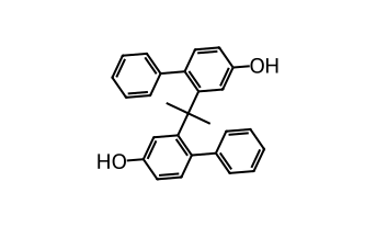 CC(C)(c1cc(O)ccc1-c1ccccc1)c1cc(O)ccc1-c1ccccc1